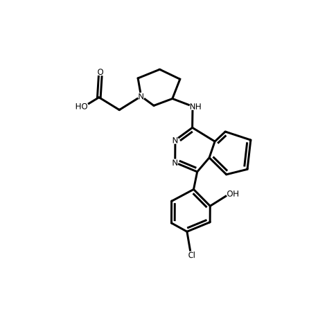 O=C(O)CN1CCCC(Nc2nnc(-c3ccc(Cl)cc3O)c3ccccc23)C1